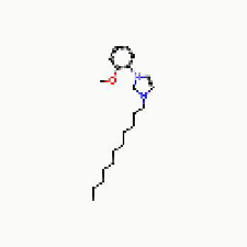 CCCCCCCCCCCN1C=CN(c2ccccc2OC)C1